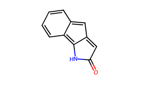 O=C1C=C2C=c3ccccc3=C2N1